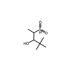 CC(C(O)C(C)(C)C)[SH](=O)=O